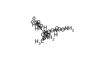 CCSSC[C@H](NC(=O)C(CCCCNC(=O)CONC(=O)OCC1c2ccccc2-c2ccccc21)NC(=O)COCCOCCNC(=O)COCCOCCN)C(N)=O